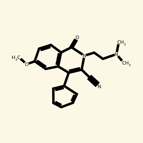 COc1ccc2c(=O)n(CCN(C)C)c(C#N)c(-c3ccccc3)c2c1